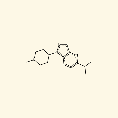 CC(C)c1ccc2c(cnn2C2CCN(C)CC2)n1